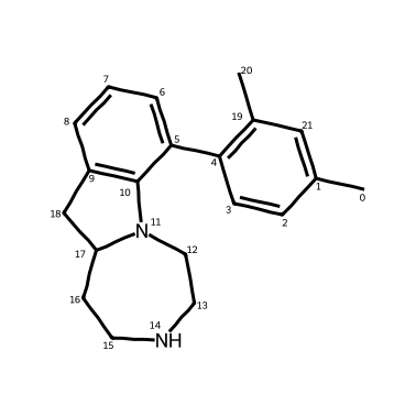 Cc1ccc(-c2cccc3c2N2CCNCCC2C3)c(C)c1